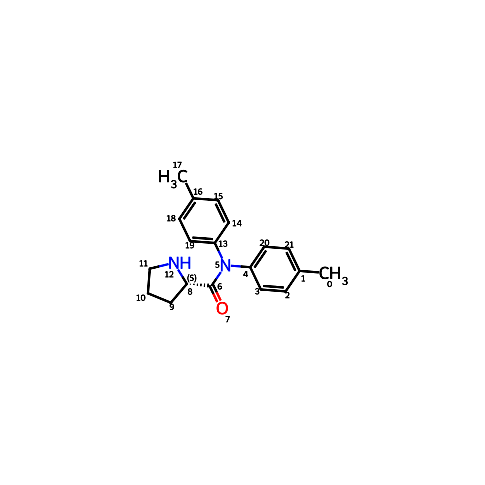 Cc1ccc(N(C(=O)[C@@H]2CCCN2)c2ccc(C)cc2)cc1